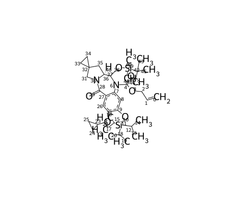 C=CCOC(=O)N1c2cc(O[Si](C(C)C)(C(C)C)C(C)C)c(OC3CC3)cc2C(=O)N2CC3(CC3)C[C@H]2C1O[Si](C)(C)C(C)(C)C